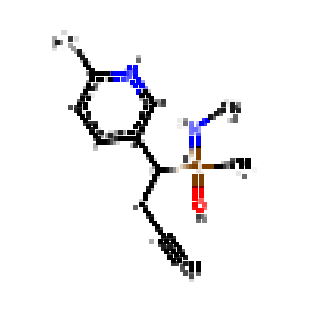 C#CCC(c1ccc(C(F)(F)F)nc1)S(C)(=O)=NC#N